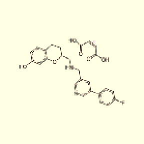 O=C(O)/C=C\C(=O)O.Oc1ccc2c(c1)OC(CNCc1cncc(-c3ccc(F)cc3)c1)CC2